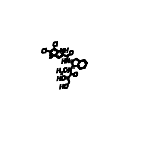 CN(C(=O)[C@@H](O)CO)[C@H]1c2ccccc2C[C@H]1NC(=O)c1cc2sc(Cl)c(Cl)c2[nH]1